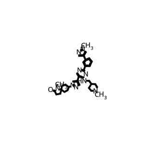 CN1CCC(CNc2nc(-c3cccc(-c4cnn(C)c4)c3)ncc2-c2cnn(C3CCC4(CCC(=O)N4C)CC3)c2)CC1